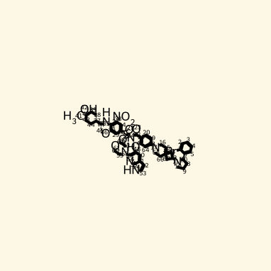 CC(C)c1ccccc1[C@H]1CCCN1C1CC2(CCN(c3ccc(C(=O)NS(=O)(=O)c4cc5c(c([N+](=O)[O-])c4)N[C@@H]([C@H]4CC[C@](C)(O)CC4)CO5)c(Oc4cc5cc[nH]c5nc4N4CCOCC4)c3)CC2)C1